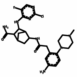 CN1CCN(c2ccc(N)cc2CC(=O)NC2CC3CC2C(Nc2nc(Cl)ncc2F)C3C(N)=O)CC1